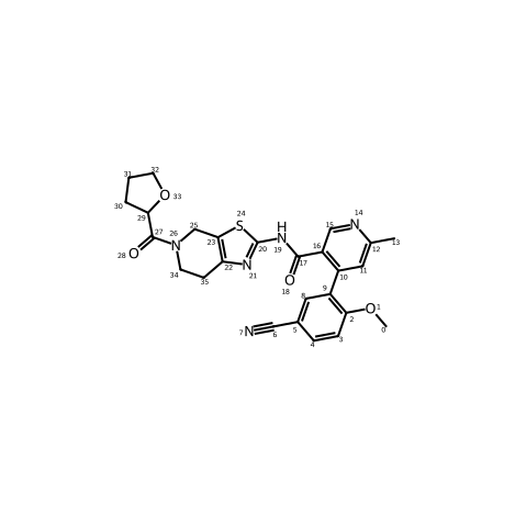 COc1ccc(C#N)cc1-c1cc(C)ncc1C(=O)Nc1nc2c(s1)CN(C(=O)C1CCCO1)CC2